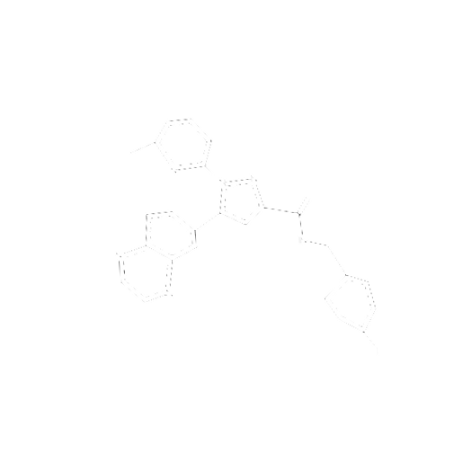 Cc1cccc(-n2nc(C(=O)NCc3ccc(F)cc3)cc2-c2ccc3nccnc3c2)n1